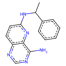 CC(Nc1ccc2ncnc(N)c2n1)c1ccccc1